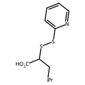 CC(C)CC(SSc1ccccn1)C(=O)O